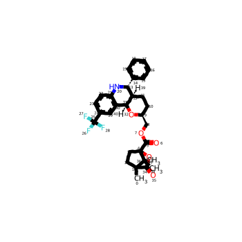 CC12CCC(C(=O)OC[C@@H]3CC[C@@H]4[C@@H](c5ccccc5)Nc5ccc(C(F)(F)F)cc5[C@@H]4O3)(OC1=O)C2(C)C